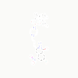 CC(C)(C)OC(=O)N1CCN(CCCc2cc3c([N+](=O)[O-])cc(F)cc3c(=O)[nH]2)CC1